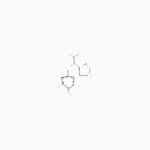 Cc1cc(O[C@@H](C(C)C)[C@H]2CCNC2)ccc1Cl